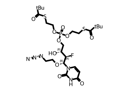 CC(C)(C)C(=O)SCCOP(=O)(OCCSC(=O)C(C)(C)C)OC[C@@H](O)[C@@H](F)[C@@H](OCCN=[N+]=[N-])n1ccc(=O)[nH]c1=O